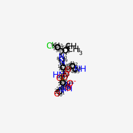 CC1(C)CCC(CN2CCN(c3ccc(C(=O)NS(=O)(=O)c4ccc(NN5CCOCC5)c([N+](=O)[O-])c4)c(Oc4cccc5[nH]ccc45)c3)CC2)=C(c2ccc(Cl)cc2)C1